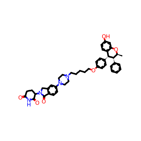 C[C@@H]1Oc2cc(O)ccc2[C@@H](c2ccc(OCCCCCN3CCN(c4ccc5c(c4)CN(C4CCC(=O)NC4=O)C5=O)CC3)cc2)[C@H]1c1ccccc1